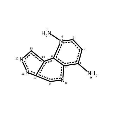 Nc1ccn(N)c2c1ncc1nncc12